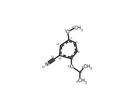 COc1ccc(OC(C)C)c(C#N)c1